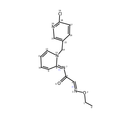 CCO/N=C/C(=O)/N=c1\ccccn1Cc1ccc(Cl)nc1